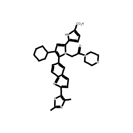 Cc1nc(C)c(-c2ccc3cc(-c4c(C5CCCCC5)cc(-c5ccc(C(=O)O)[nH]5)n4CC(=O)N4CCOCC4)ccc3n2)s1